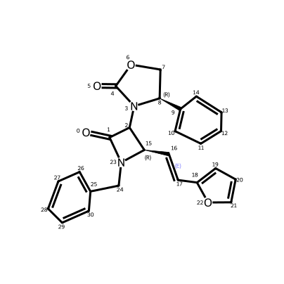 O=C1C(N2C(=O)OC[C@H]2c2ccccc2)[C@@H](/C=C/c2ccco2)N1Cc1ccccc1